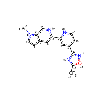 CCCn1ccc2cc(-c3cc(-c4noc(C(F)(F)F)n4)ccn3)ncc21